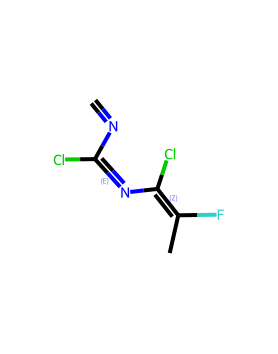 C=N/C(Cl)=N\C(Cl)=C(/C)F